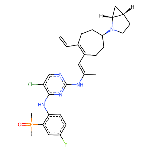 C=CC1=C(/C=C(\C)Nc2ncc(Cl)c(Nc3ccc(F)cc3P(C)(C)=O)n2)CC[C@H](N2CC[C@H]3C[C@H]32)CC1